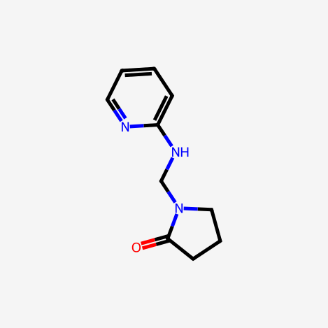 O=C1CCCN1CNc1ccccn1